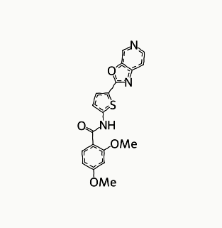 COc1ccc(C(=O)Nc2ccc(-c3nc4ccncc4o3)s2)c(OC)c1